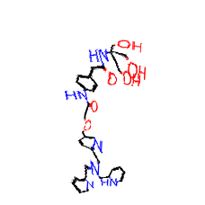 O=C(COCc1ccc(CN(Cc2ccccn2)CC2C=CC=CN2)nc1)Nc1ccc(CC(=O)NC(CO)(CO)CO)cc1